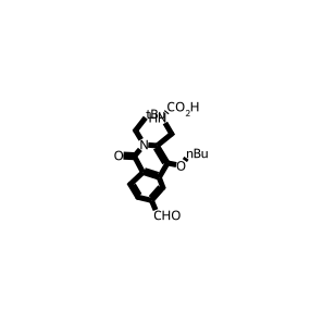 CCCCOc1c(CNC(=O)O)n(CC(C)(C)C)c(=O)c2ccc(C=O)cc12